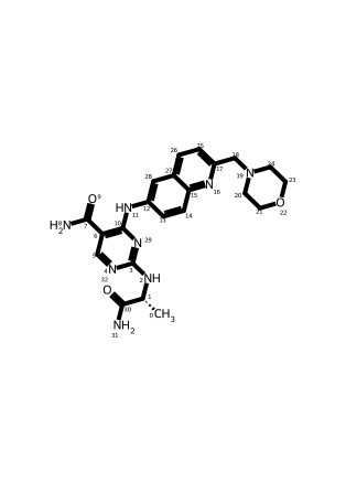 C[C@@H](Nc1ncc(C(N)=O)c(Nc2ccc3nc(CN4CCOCC4)ccc3c2)n1)C(N)=O